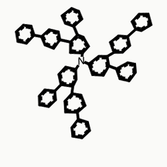 c1ccc(-c2ccc(-c3cc(N(c4ccc(-c5ccccc5)c(-c5ccc(-c6ccccc6)cc5)c4)c4ccc(-c5ccccc5)c(-c5ccc(-c6ccccc6)cc5)c4)ccc3-c3ccccc3)cc2)cc1